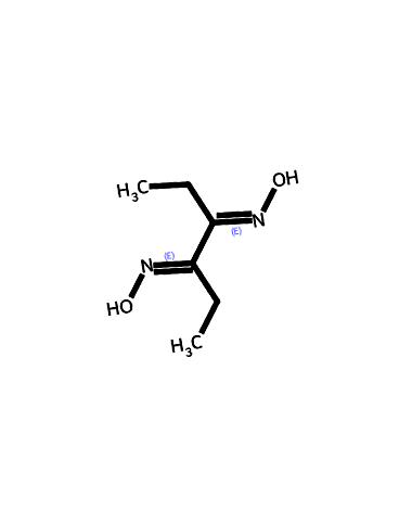 CCC(=N\O)/C(CC)=N/O